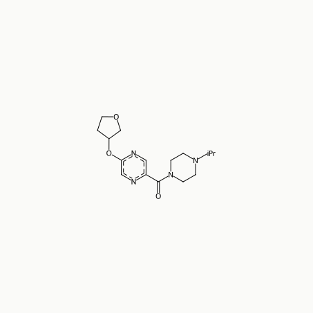 CC(C)N1CCN(C(=O)c2cnc(OC3CCOC3)cn2)CC1